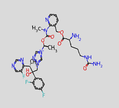 CC(OC(=O)N(C)c1ncccc1COC(=O)[C@@H](N)CCCNC(N)=O)[n+]1cnn(C[C@](O)(c2ccc(F)cc2F)[C@@H](C)c2ncncc2F)c1